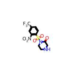 O=C1CNCCN1S(=O)(=O)c1ccc(C(F)(F)F)cc1[N+](=O)[O-]